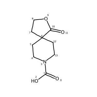 O=C(O)N1CCC2(CCOC2=O)CC1